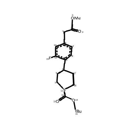 COC(=O)Cc1ccc(C2CCN(C(=O)OC(C)(C)C)CC2)c(F)c1